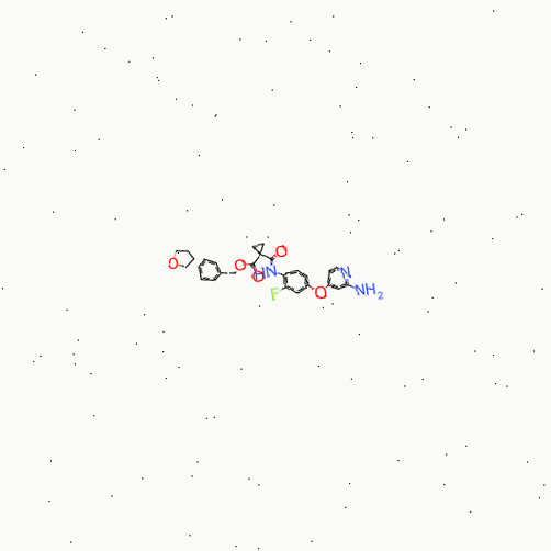 C1CCOC1.Nc1cc(Oc2ccc(NC(=O)C3(C(=O)OCc4ccccc4)CC3)c(F)c2)ccn1